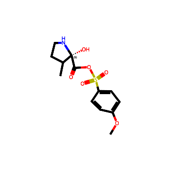 COc1ccc(S(=O)(=O)OC(=O)[C@]2(O)NCCC2C)cc1